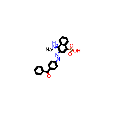 Nc1c(N=Nc2ccc(C(=O)c3ccccc3)cc2)cc(S(=O)(=O)O)c2ccccc12.[Na]